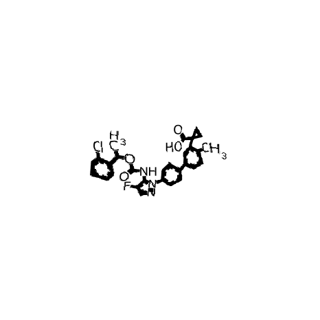 Cc1ccc(-c2ccc(-n3ncc(F)c3NC(=O)OC(C)c3ccccc3Cl)cc2)cc1C1(C(=O)O)CC1